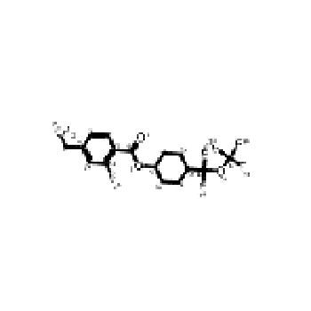 CCc1ccc(C(=O)OC2CCC(C(F)(F)OC(F)(F)F)CC2)c(F)c1